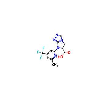 Cc1cc(C(F)(F)F)cc(N2c3nncn3CC2C(=O)O)n1